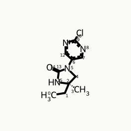 CC[C@]1(C)CN(c2cnc(Cl)nc2)C(=O)N1